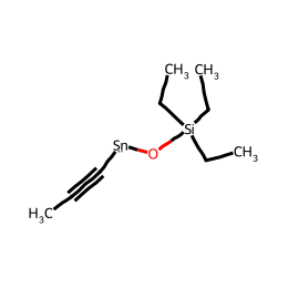 CC#[C][Sn][O][Si](CC)(CC)CC